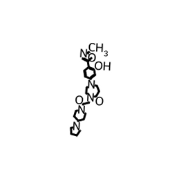 Cc1ncc(-c2ccc(N3CCC(=O)N(CC(=O)N4CCC(N5CCCC5)CC4)CC3)cc2O)o1